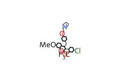 COc1ccc2c(Cc3ccc(OCCN4CCCC4)cc3)c(-c3ccc(Cl)cc3C(F)(F)F)c(=O)oc2c1